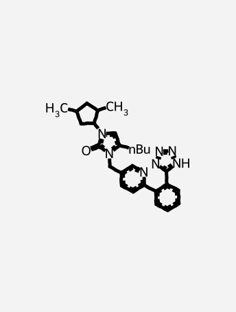 CCCCc1cn(C2CC(C)CC2C)c(=O)n1Cc1ccc(-c2ccccc2-c2nnn[nH]2)nc1